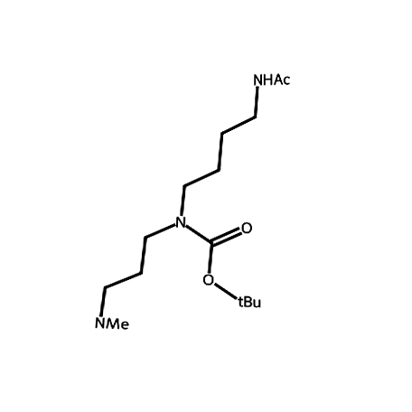 CNCCCN(CCCCNC(C)=O)C(=O)OC(C)(C)C